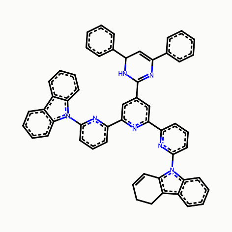 C1=Cc2c(c3ccccc3n2-c2cccc(-c3cc(C4=NC(c5ccccc5)=CC(c5ccccc5)N4)cc(-c4cccc(-n5c6ccccc6c6ccccc65)n4)n3)n2)CC1